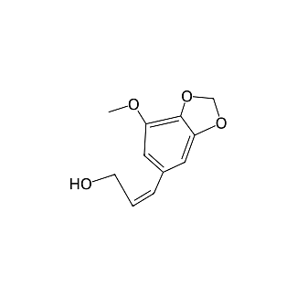 COc1cc(/C=C\CO)cc2c1OCO2